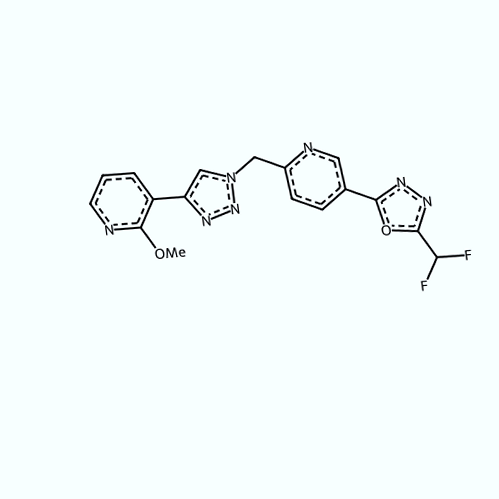 COc1ncccc1-c1cn(Cc2ccc(-c3nnc(C(F)F)o3)cn2)nn1